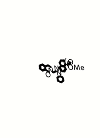 COC(=O)N1c2ccc3c(nc(CN4CCc5ccccc5C4=O)n3C3CCCCC3)c2CC[C@@H]1C